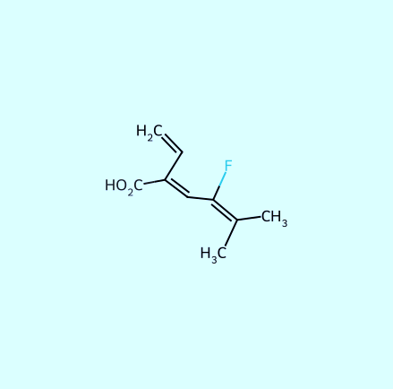 C=C/C(=C\C(F)=C(C)C)C(=O)O